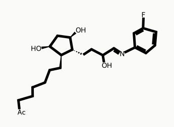 CC(=O)CCCCCC[C@@H]1[C@@H](CCC(O)/C=N/c2cccc(F)c2)[C@H](O)C[C@@H]1O